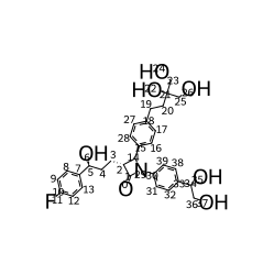 O=C1[C@H](CC[C@H](O)c2ccc(F)cc2)[C@@H](c2ccc(CCC(O)(CO)CO)cc2)N1c1ccc(C(O)CO)cc1